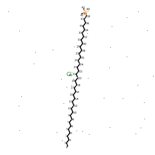 CCCCCCCCCCCCCCCCCCCCCCCCCCCCCCCCCCCCCCC[P+](C)(C)C.[Cl-]